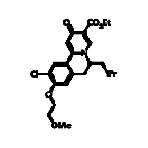 CCOC(=O)c1cn2c(cc1=O)-c1cc(Cl)c(OCCOC)cc1CC2CC(C)C